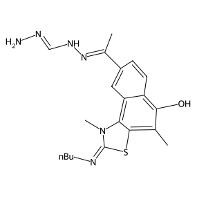 CCCCN=c1sc2c(C)c(O)c3ccc(C(C)=NNC=NN)cc3c2n1C